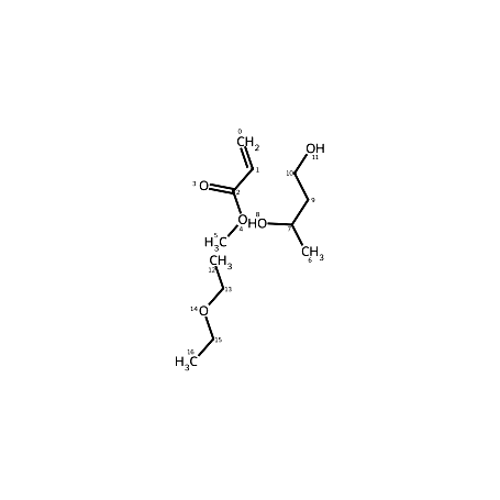 C=CC(=O)OC.CC(O)CCO.CCOCC